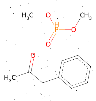 CC(=O)Cc1ccccc1.CO[PH](=O)OC